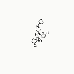 O=C(Nc1cccc(Cl)c1)c1ccc(Cl)nc1NC1CCN(Cc2ccccc2)CC1